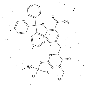 CCOC(=O)C(Cc1ccc(OC(c2ccccc2)(c2ccccc2)c2ccccc2)c(C(C)=O)c1)NC(=O)OC(C)(C)C